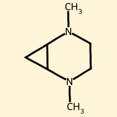 CN1CCN(C)C2CC21